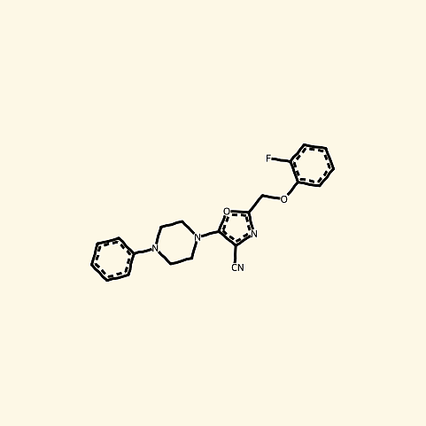 N#Cc1nc(COc2ccccc2F)oc1N1CCN(c2ccccc2)CC1